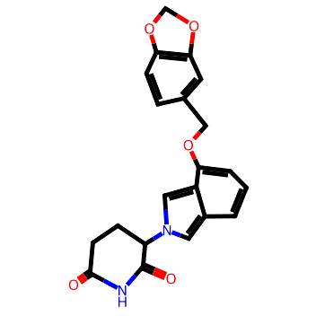 O=C1CCC(n2cc3cccc(OCc4ccc5c(c4)OCO5)c3c2)C(=O)N1